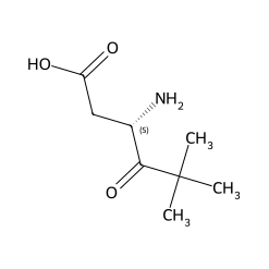 CC(C)(C)C(=O)[C@@H](N)CC(=O)O